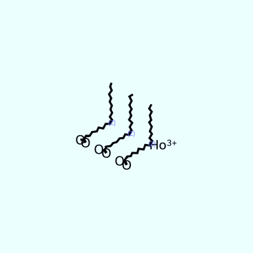 CCCCCCCCCC/C=C\CCCCCCCC(=O)[O-].CCCCCCCCCC/C=C\CCCCCCCC(=O)[O-].CCCCCCCCCC/C=C\CCCCCCCC(=O)[O-].[Ho+3]